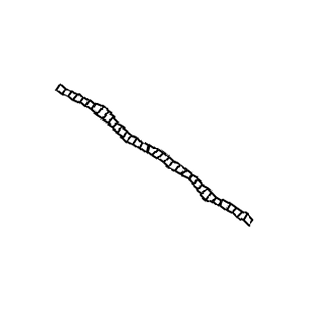 C1CC2C1C1C2C2C1C1C2C2C1C1C2C2C1C1C2C2C1C1C2C2C1C1C2C2C1C1C2C2C1C1C2C2C3C4C5C6C7C8C9C%10C%11C%12C%13C%14C%15C%16C%17C%18CCC%18C%17C%16C%15C%14C%13C%12C%11C%10C9C8C7C6C5C4C3C12